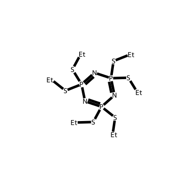 CCSP1(SCC)=NP(SCC)(SCC)=NP(SCC)(SCC)=N1